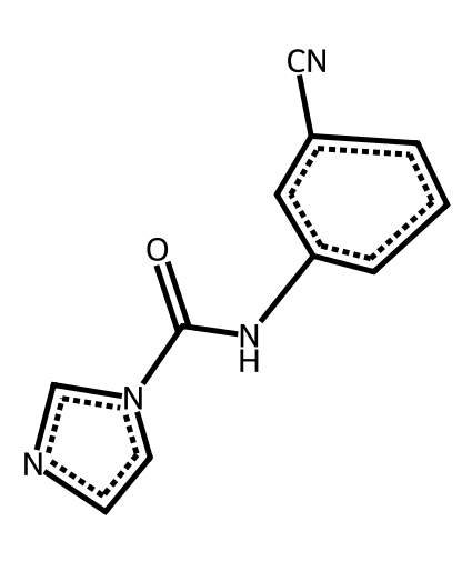 N#Cc1cccc(NC(=O)n2ccnc2)c1